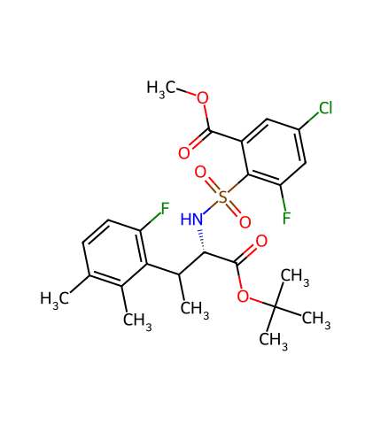 COC(=O)c1cc(Cl)cc(F)c1S(=O)(=O)N[C@H](C(=O)OC(C)(C)C)C(C)c1c(F)ccc(C)c1C